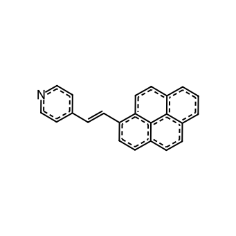 C(=Cc1ccc2ccc3cccc4ccc1c2c34)c1ccncc1